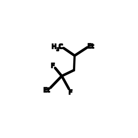 CCC(C)CC(F)(F)CC